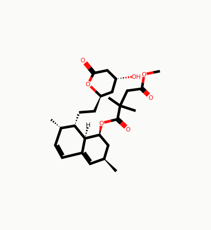 COC(=O)CC(C)(C)C(=O)O[C@H]1C[C@@H](C)C=C2C=C[C@H](C)[C@H](CC[C@@H]3C[C@@H](O)CC(=O)O3)[C@H]21